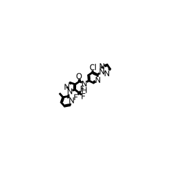 Cc1cccnc1-n1ncc(C(=O)Nc2cnc(-n3nccn3)c(Cl)c2)c1C(F)(F)F